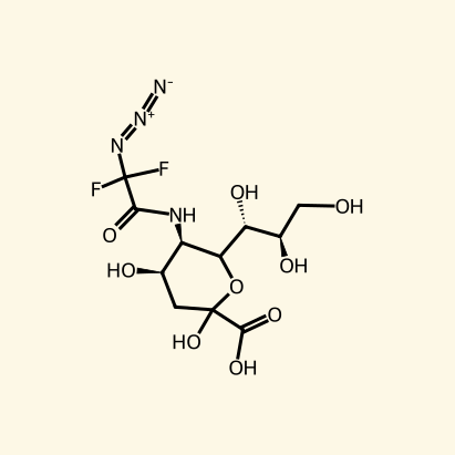 [N-]=[N+]=NC(F)(F)C(=O)N[C@H]1C([C@H](O)[C@H](O)CO)OC(O)(C(=O)O)C[C@H]1O